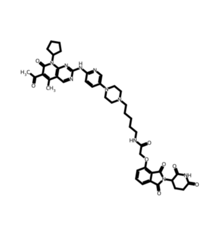 CC(=O)c1c(C)c2cnc(Nc3ccc(N4CCN(CCCCCNC(=O)COc5cccc6c5C(=O)N(C5CCC(=O)NC5=O)C6=O)CC4)cn3)nc2n(C2CCCC2)c1=O